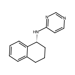 c1ccc2c(c1)CCC[C@H]2Nc1ccncn1